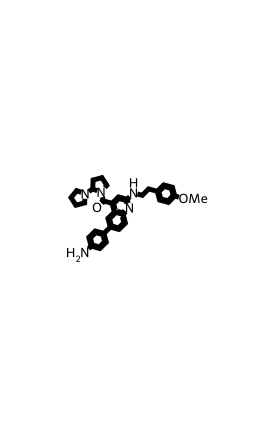 COc1ccc(CCNc2cc(C(=O)N3CCCC3N3CCCC3)c3cc(-c4ccc(N)cc4)ccc3n2)cc1